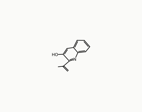 C=C(C)c1nc2ccccc2cc1O